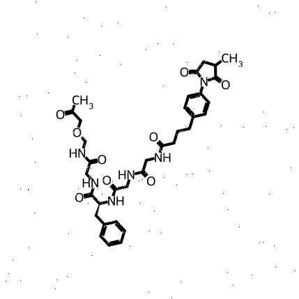 CC(=O)COCNC(=O)CNC(=O)[C@H](Cc1ccccc1)NC(=O)CNC(=O)CNC(=O)CCCc1ccc(N2C(=O)CC(C)C2=O)cc1